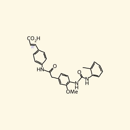 COc1cc(CC(=O)Nc2ccc(/C=C/C(=O)O)cc2)ccc1NC(=O)Nc1ccccc1C